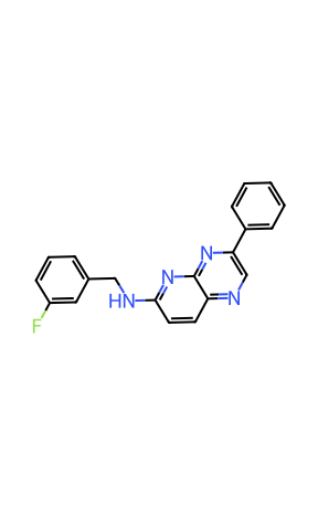 Fc1cccc(CNc2ccc3ncc(-c4ccccc4)nc3n2)c1